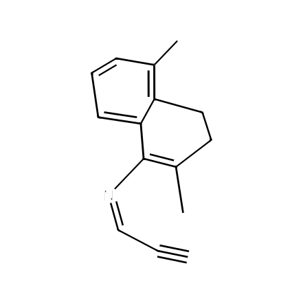 C#C/C=N\C1=C(C)CCc2c(C)cccc21